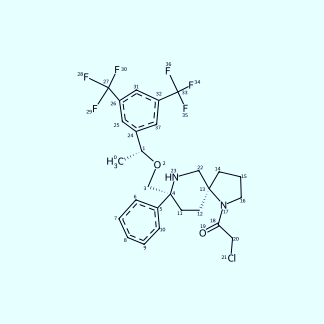 C[C@@H](OC[C@@]1(c2ccccc2)CC[C@@]2(CCCN2C(=O)CCl)CN1)c1cc(C(F)(F)F)cc(C(F)(F)F)c1